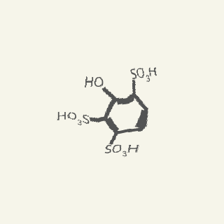 O=S(=O)(O)c1ccc(S(=O)(=O)O)c(S(=O)(=O)O)c1O